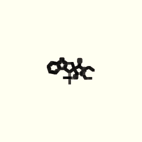 CCOC(=O)C1(C(=O)OCC)Cc2oc3ccccc3c2C1C(C)(C)C